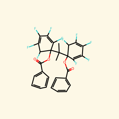 CC(C)(C1(OC(=O)c2ccccc2)C(F)=C(F)C(F)=C(F)C1F)C1(OC(=O)c2ccccc2)C(F)=C(F)C(F)=C(F)C1F